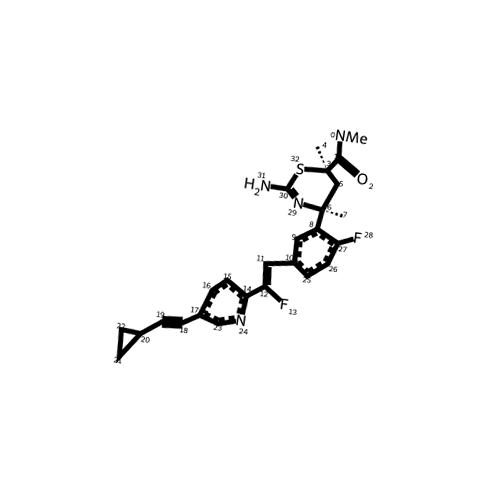 CNC(=O)[C@@]1(C)C[C@@](C)(c2cc(/C=C(\F)c3ccc(C#CC4CC4)cn3)ccc2F)N=C(N)S1